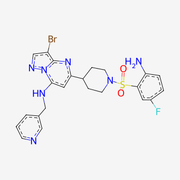 Nc1ccc(F)cc1S(=O)(=O)N1CCC(c2cc(NCc3cccnc3)n3ncc(Br)c3n2)CC1